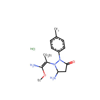 CCOC(=O)C(=C(N)OCC)N1C(N)CC(=O)N1c1ccc(C(F)(F)F)cc1.Cl